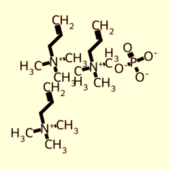 C=CC[N+](C)(C)C.C=CC[N+](C)(C)C.C=CC[N+](C)(C)C.O=P([O-])([O-])[O-]